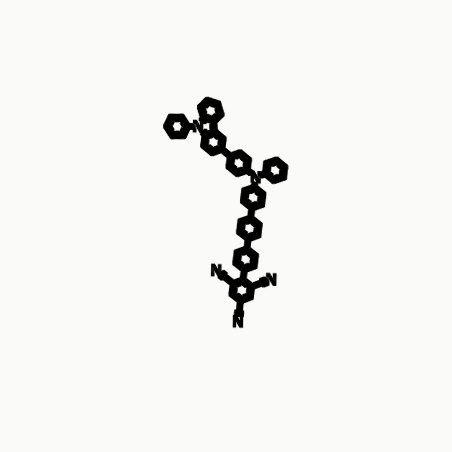 N#Cc1cc(C#N)c(-c2ccc(-c3ccc(-c4ccc(N(c5ccccc5)c5ccc(-c6ccc7c(c6)c6ccccc6n7-c6ccccc6)cc5)cc4)cc3)cc2)c(C#N)c1